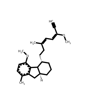 C#C/C(=C\C=C(\C)CC[C@@H]1CCC[C@H]2Cc3c(C)ccc(OC)c3C12)OC